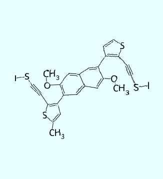 COc1cc2cc(-c3cc(C)sc3C#CSI)c(OC)cc2cc1-c1ccsc1C#CSI